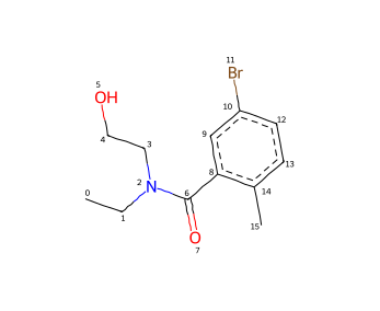 CCN(CCO)C(=O)c1cc(Br)ccc1C